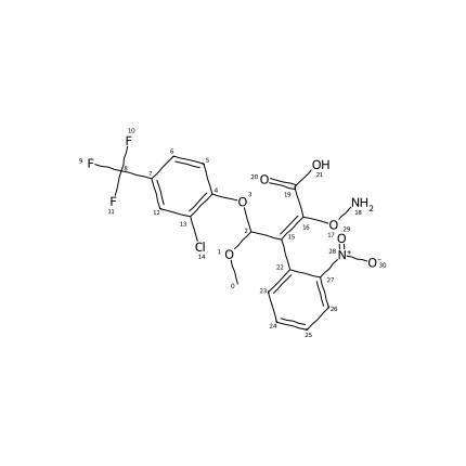 COC(Oc1ccc(C(F)(F)F)cc1Cl)C(=C(ON)C(=O)O)c1ccccc1[N+](=O)[O-]